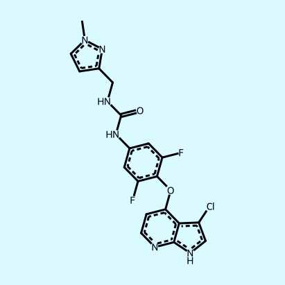 Cn1ccc(CNC(=O)Nc2cc(F)c(Oc3ccnc4[nH]cc(Cl)c34)c(F)c2)n1